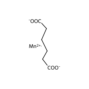 O=C([O-])CCCCC(=O)[O-].[Mn+2]